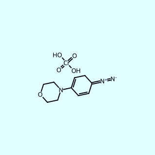 [N-]=[N+]=C1C=CC(N2CCOCC2)=CC1.[O]=[Cr](=[O])([OH])[OH]